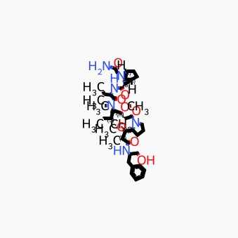 CC[C@H](C)[C@@H]([C@@H](CC(=O)N1CCCC1[C@H](OC)[C@@H](C)C(=O)NC(CO)Cc1ccccc1)OC)N(C)C(=O)C(NC(=O)[C@@H]1[C@H]2CC[C@H](C2)N1CC(N)=O)C(C)C